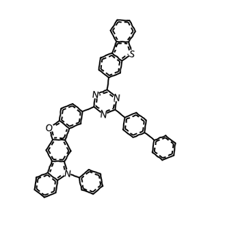 c1ccc(-c2ccc(-c3nc(-c4ccc5c(c4)sc4ccccc45)nc(-c4ccc5oc6cc7c8ccccc8n(-c8ccccc8)c7cc6c5c4)n3)cc2)cc1